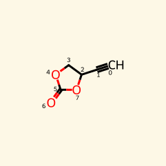 C#CC1COC(=O)O1